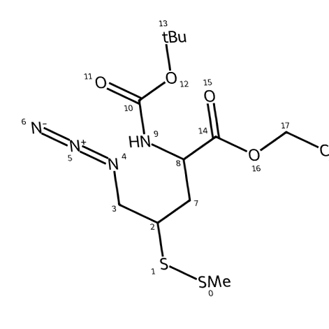 CSSC(CN=[N+]=[N-])CC(NC(=O)OC(C)(C)C)C(=O)OCC#N